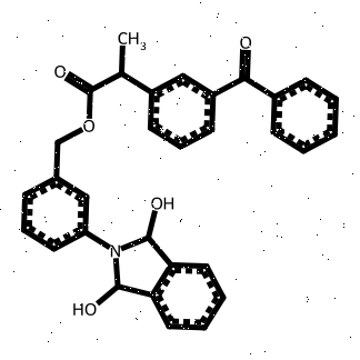 CC(C(=O)OCc1cccc(N2C(O)c3ccccc3C2O)c1)c1cccc(C(=O)c2ccccc2)c1